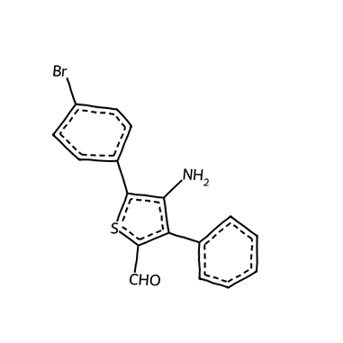 Nc1c(-c2ccc(Br)cc2)sc(C=O)c1-c1ccccc1